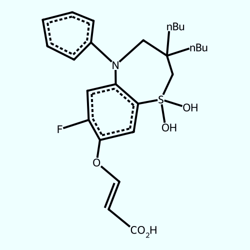 CCCCC1(CCCC)CN(c2ccccc2)c2cc(F)c(O/C=C/C(=O)O)cc2S(O)(O)C1